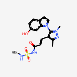 CCCCNS(=O)(=O)NC(=O)C=Cc1c(C)nn(C)c1-n1ccc2ccc(O)cc21